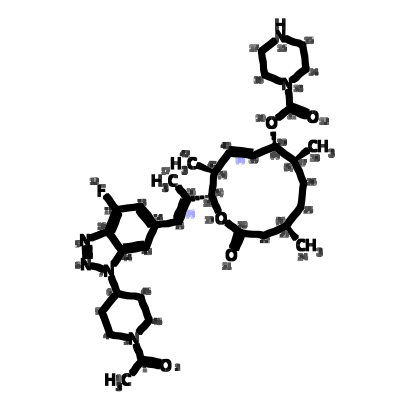 CC(=O)N1CCC(n2nnc3c(F)cc(/C=C(\C)[C@H]4OC(=O)C[C@H](C)CC[C@H](C)[C@@H](OC(=O)N5CCNCC5)/C=C/[C@@H]4C)cc32)CC1